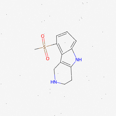 CS(=O)(=O)c1cccc2[nH]c3c(c12)CNCC3